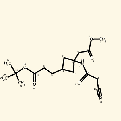 COC(=O)CC1(NC(=O)CC#N)CC(CCC(=O)OC(C)(C)C)C1